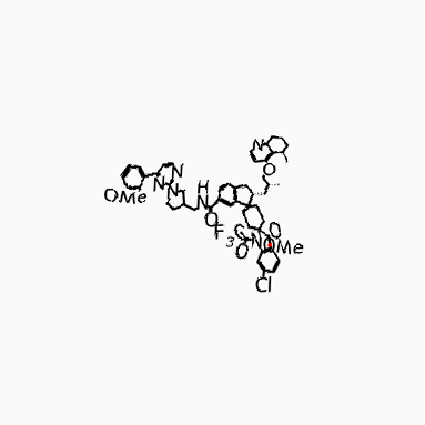 COC(=O)C1(N(C(=O)C(F)(F)F)c2cccc(Cl)c2)CCC2(CC1)c1cc(C(=O)NCC3CCN(c4nccc(-c5ccccc5OC)n4)C3)ccc1C[C@@H]2C[C@@H](C)COc1ccnc2c1[C@H](C)CCC2